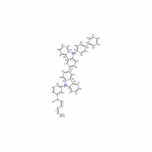 CC/C=C\C=C/C(C)c1cccc(-n2c3ccccc3c3cc(-c4ccc5c(c4)c4ccccc4n5-c4ccc(-c5ccccc5)cc4)ccc32)c1